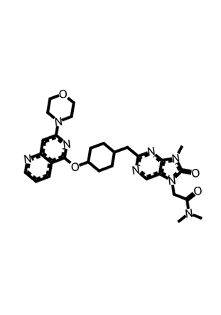 CN(C)C(=O)Cn1c(=O)n(C)c2nc(CC3CCC(Oc4nc(N5CCOCC5)cc5ncccc45)CC3)ncc21